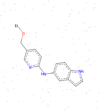 CCOCc1ccc(Nc2ccc3[nH]ccc3c2)nc1